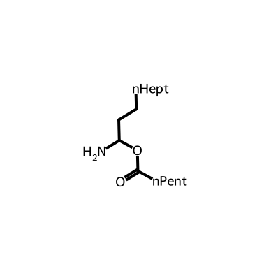 CCCCCCCCCC(N)OC(=O)CCCCC